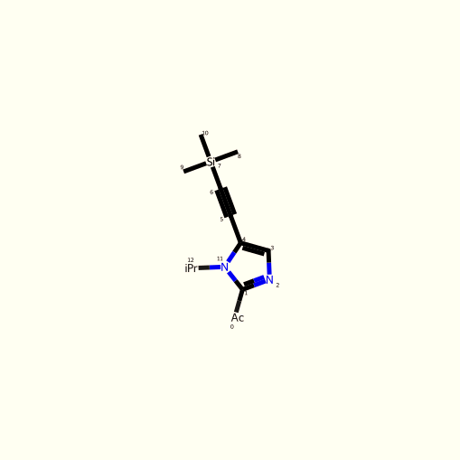 CC(=O)c1ncc(C#C[Si](C)(C)C)n1C(C)C